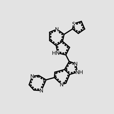 c1csc(-c2nccc3[nH]c(-c4n[nH]c5cnc(-c6cnccn6)cc45)cc23)c1